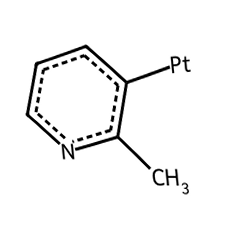 Cc1nccc[c]1[Pt]